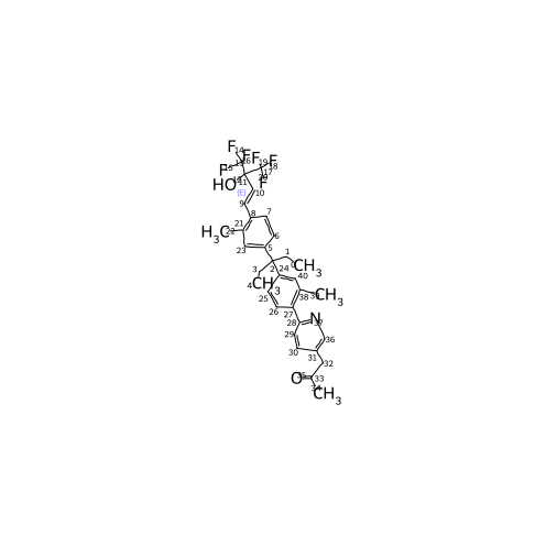 CCC(CC)(c1ccc(/C=C/C(O)(C(F)(F)F)C(F)(F)F)c(C)c1)c1ccc(-c2ccc(CC(C)=O)cn2)c(C)c1